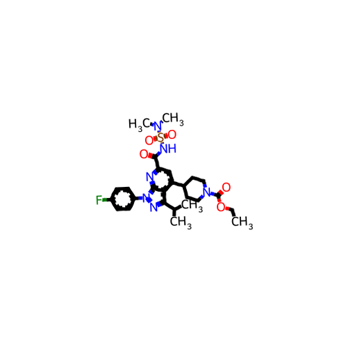 CCOC(=O)N1CCC(c2cc(C(=O)NS(=O)(=O)N(C)C)nc3c2c(C(C)C)nn3-c2ccc(F)cc2)CC1